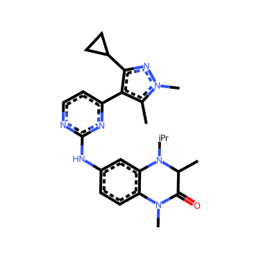 Cc1c(-c2ccnc(Nc3ccc4c(c3)N(C(C)C)C(C)C(=O)N4C)n2)c(C2CC2)nn1C